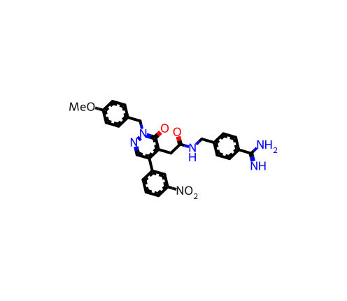 COc1ccc(Cn2ncc(-c3cccc([N+](=O)[O-])c3)c(CC(=O)NCc3ccc(C(=N)N)cc3)c2=O)cc1